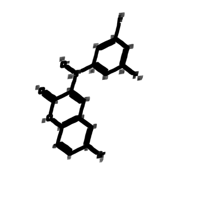 O=c1oc2ccc(Br)cc2cc1[S+]([O-])c1cc(F)cc(F)c1